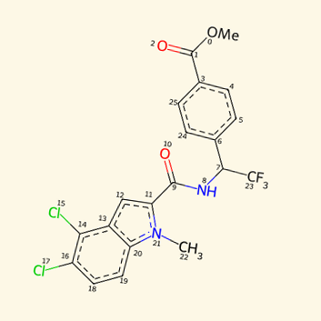 COC(=O)c1ccc(C(NC(=O)c2cc3c(Cl)c(Cl)ccc3n2C)C(F)(F)F)cc1